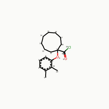 Cc1cccc(OC2(C(=O)Cl)CCCCCCCC2)c1C